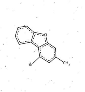 Cc1cc(Br)c2c(c1)oc1ccccc12